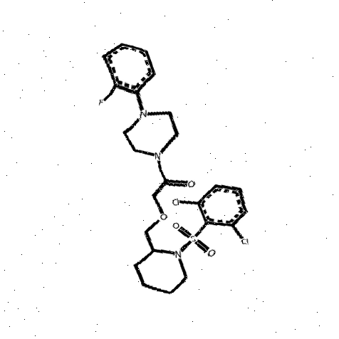 O=C(COCC1CCCCN1S(=O)(=O)c1c(Cl)cccc1Cl)N1CCN(c2ccccc2F)CC1